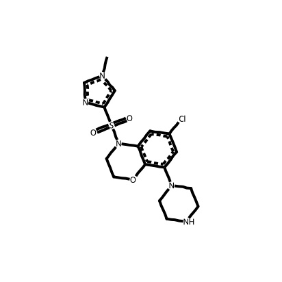 Cn1cnc(S(=O)(=O)N2CCOc3c(N4CCNCC4)cc(Cl)cc32)c1